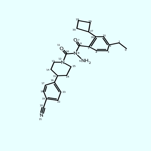 CCc1ccc(C(=O)N(N)C(=O)N2CCC(c3ccc(C#N)cc3)CC2)c(C2CCC2)c1